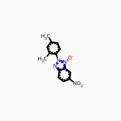 Cc1ccc(-n2nc3ccc([N+](=O)[O-])cc3[n+]2[O-])c(C)c1